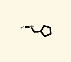 [CH2]CCNCC1CCCC1